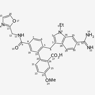 CCn1cc(Cc2ccc(C(=O)NCc3ncco3)cc2-c2ccc(OC)cc2C(=O)O)c2ccc(C(=N)N)cc21